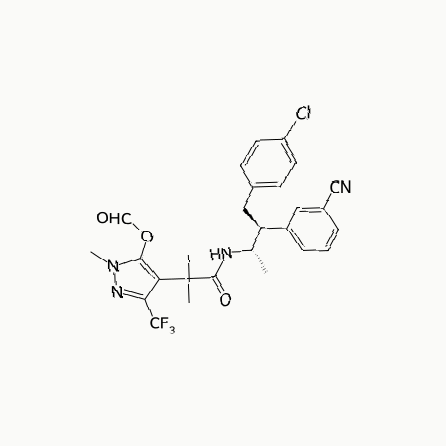 C[C@H](NC(=O)C(C)(C)c1c(C(F)(F)F)nn(C)c1OC=O)[C@@H](Cc1ccc(Cl)cc1)c1cccc(C#N)c1